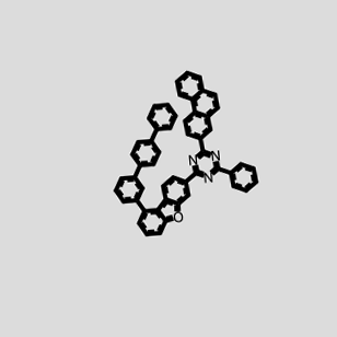 c1ccc(-c2ccc(-c3cccc(-c4cccc5oc6cc(-c7nc(-c8ccccc8)nc(-c8ccc9c(ccc%10ccccc%109)c8)n7)ccc6c45)c3)cc2)cc1